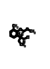 CCC(C)(PCl)c1cccc(C)c1OCOC